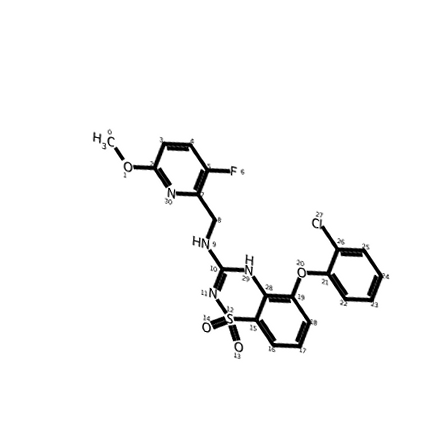 COc1ccc(F)c(CNC2=NS(=O)(=O)c3cccc(Oc4ccccc4Cl)c3N2)n1